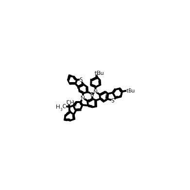 CC(C)(C)c1ccc(N2B3c4cc5sc6ccccc6c5cc4-n4c5cc6c(cc5c5ccc(c3c54)-c3cc4sc5cc(C(C)(C)C)ccc5c4cc32)-c2ccccc2C6(C)C)cc1